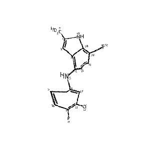 O=C(O)c1cc2c(Nc3ccc(F)c(Cl)c3)ccc(F)c2[nH]1